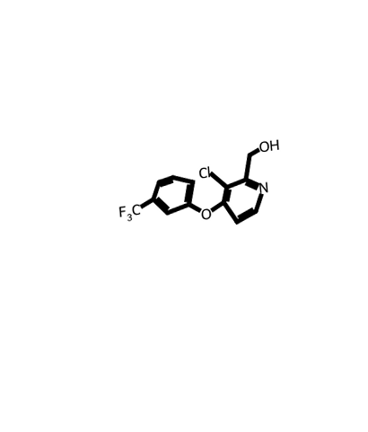 OCc1nccc(Oc2cccc(C(F)(F)F)c2)c1Cl